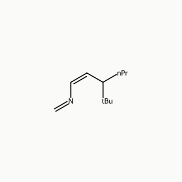 C=N/C=C\C(CCC)C(C)(C)C